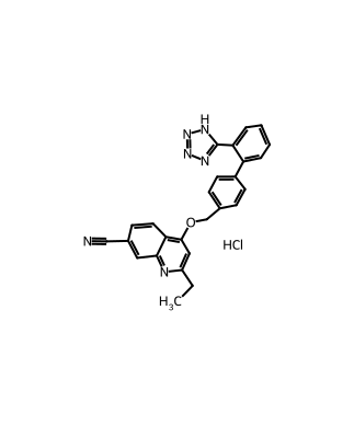 CCc1cc(OCc2ccc(-c3ccccc3-c3nnn[nH]3)cc2)c2ccc(C#N)cc2n1.Cl